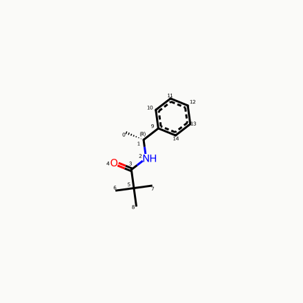 C[C@@H](NC(=O)C(C)(C)C)c1ccccc1